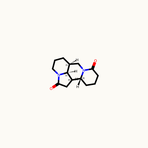 O=C1C[C@H]2[C@@H]3[C@@H](CCCN13)CN1C(=O)CCC[C@H]21